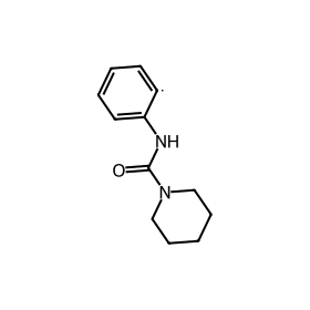 O=C(Nc1[c]cccc1)N1CCCCC1